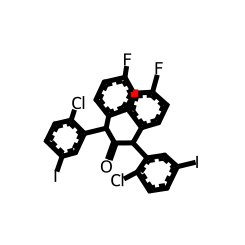 O=C(C(c1ccc(F)cc1)c1cc(I)ccc1Cl)C(c1ccc(F)cc1)c1cc(I)ccc1Cl